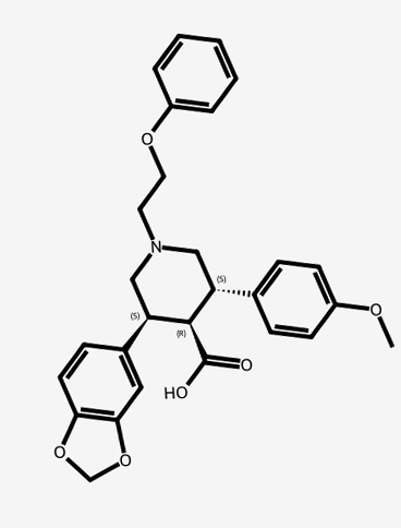 COc1ccc([C@H]2CN(CCOc3ccccc3)C[C@H](c3ccc4c(c3)OCO4)[C@@H]2C(=O)O)cc1